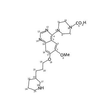 COc1cc2c(N3CCN(C(=O)O)CC3)ncnc2cc1OCCCC1CCCNC1